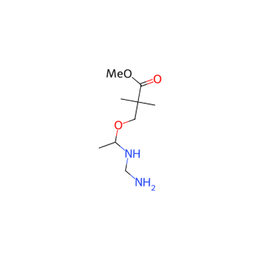 COC(=O)C(C)(C)COC(C)NCN